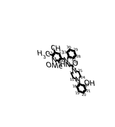 COc1nc(C)c(C)cc1N(NC(=O)N1CCN(c2ccccc2O)CC1)c1ccccc1